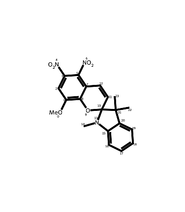 COc1cc([N+](=O)[O-])c([N+](=O)[O-])c2c1OC1(C=C2)N(C)c2ccccc2C1(C)C